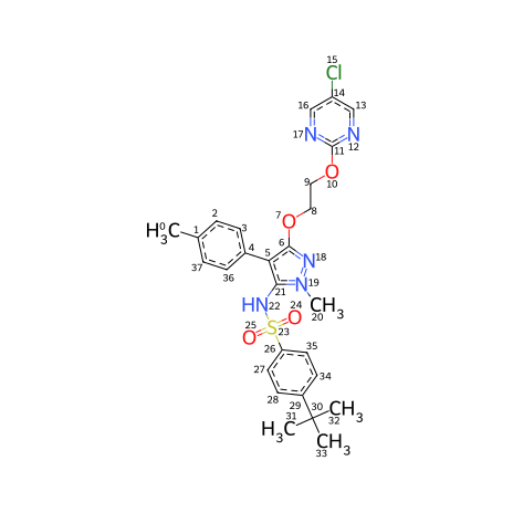 Cc1ccc(-c2c(OCCOc3ncc(Cl)cn3)nn(C)c2NS(=O)(=O)c2ccc(C(C)(C)C)cc2)cc1